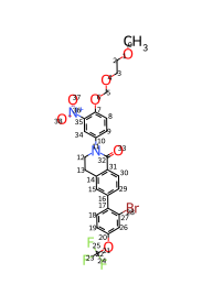 COCCOCOc1ccc(N2CCc3cc(-c4ccc(OC(F)(F)F)cc4Br)ccc3C2=O)cc1[N+](=O)[O-]